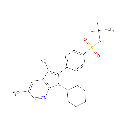 CC(C)(NS(=O)(=O)c1ccc(-c2c(C#N)c3cc(C(F)(F)F)cnc3n2C2CCCCC2)cc1)C(F)(F)F